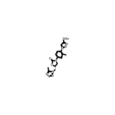 CSc1cn(-c2ccc(N3C[C@H](Cn4nnnc4C)OC3=O)cc2F)nn1